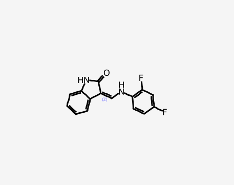 O=C1Nc2ccccc2/C1=C/Nc1ccc(F)cc1F